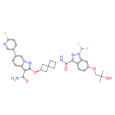 CC(C)(O)COc1ccc2c(C(=O)N[C@H]3CC4(C3)C[C@H](Oc3nn5cc(-c6ccc(F)nc6)ccc5c3C(N)=O)C4)nn(C(F)F)c2c1